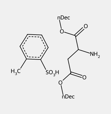 CCCCCCCCCCOC(=O)CC(N)C(=O)OCCCCCCCCCC.Cc1ccccc1S(=O)(=O)O